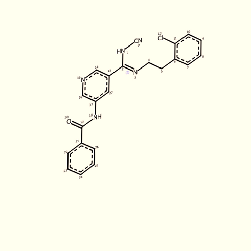 N#CN/C(=N\CCc1ccccc1Cl)c1cncc(NC(=O)c2ccccc2)c1